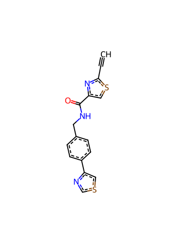 C#Cc1nc(C(=O)NCc2ccc(-c3cscn3)cc2)cs1